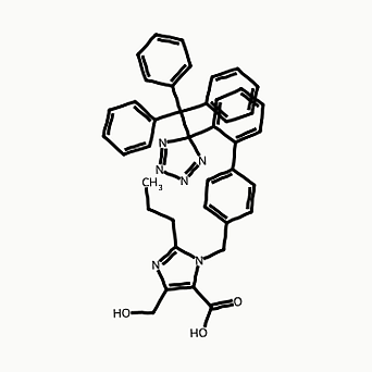 CCCc1nc(CO)c(C(=O)O)n1Cc1ccc(-c2ccccc2C2(C(c3ccccc3)(c3ccccc3)c3ccccc3)N=NN=N2)cc1